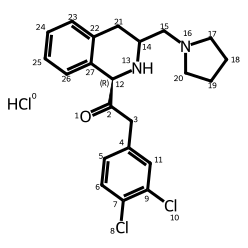 Cl.O=C(Cc1ccc(Cl)c(Cl)c1)[C@@H]1NC(CN2CCCC2)Cc2ccccc21